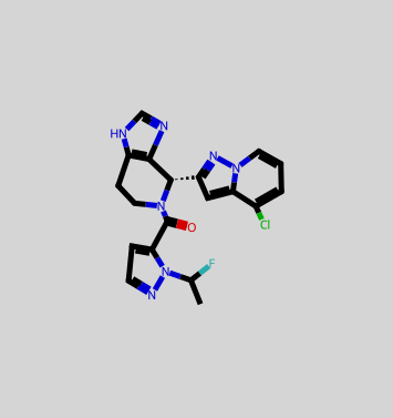 CC(F)n1nccc1C(=O)N1CCc2[nH]cnc2[C@@H]1c1cc2c(Cl)cccn2n1